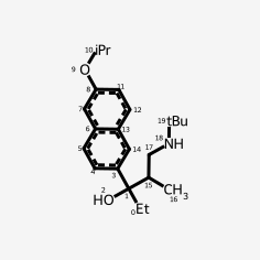 CCC(O)(c1ccc2cc(OC(C)C)ccc2c1)C(C)CNC(C)(C)C